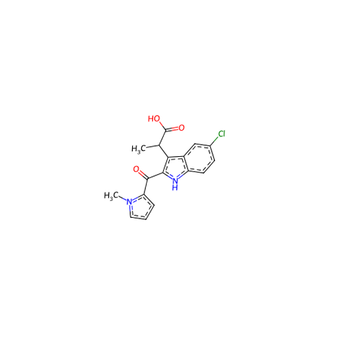 CC(C(=O)O)c1c(C(=O)c2cccn2C)[nH]c2ccc(Cl)cc12